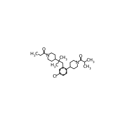 CCC(=O)N1CCC(C(C)(C)Cc2cc(Cl)ccc2C2CCN(C(=O)C(C)C)CC2)CC1